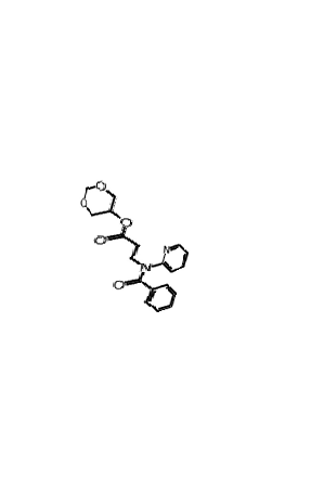 O=C(CCN(C(=O)C1=CC=C=C=C1)c1ccccn1)OC1COCOC1